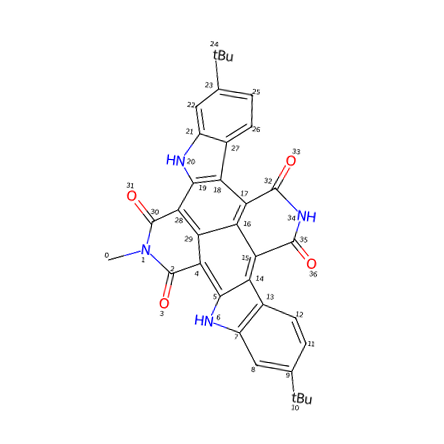 CN1C(=O)c2c3[nH]c4cc(C(C)(C)C)ccc4c3c3c4c(c5c([nH]c6cc(C(C)(C)C)ccc65)c(c24)C1=O)C(=O)NC3=O